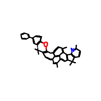 Cc1ccc2c(n1)-c1c(cc3c(C)cc4cc5c(c6cc(C)c1c3c46)Oc1ccc(-c3ccccc3)cc1C5(C)C)C2(C)C